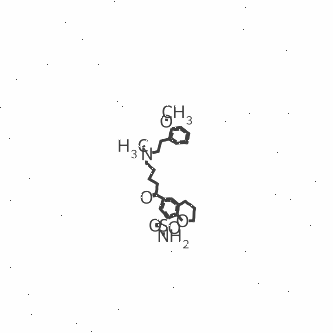 COc1ccccc1CCN(C)CCCCC(=O)c1cc2c(c(S(N)(=O)=O)c1)OCCC2